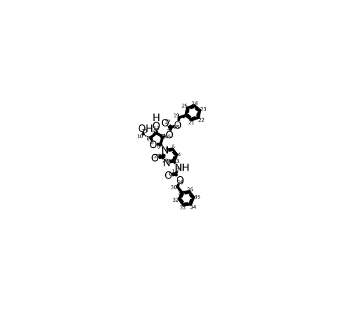 O=C(Nc1ccn([C@@H]2O[C@H](CO)[C@@H](O)[C@@H]2OC(=O)OCc2ccccc2)c(=O)n1)OCc1ccccc1